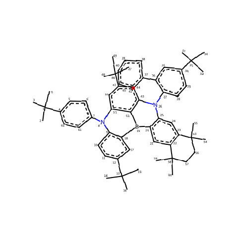 CC(C)(C)c1ccc(N2c3ccc(C(C)(C)C)cc3B3c4cc5c(cc4N(c4ccc(C(C)(C)C)cc4-c4ccccc4)c4cc(C(C)(C)C)cc2c43)C(C)(C)CCC5(C)C)cc1